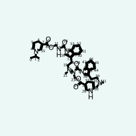 CC(C)N1C=CCC(C(=O)OCNC(=O)n2cc(CCN(C)N(COC(=O)C3=CNC=CC3)C(=O)n3cc(CCN(C)C)c4ccccc43)c3ccccc32)=C1